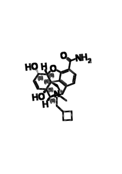 C[N+]1(CC2CCC2)CC[C@]23c4c5ccc(C(N)=O)c4O[C@H]2[C@@H](O)C=C[C@@]3(O)[C@H]1C5